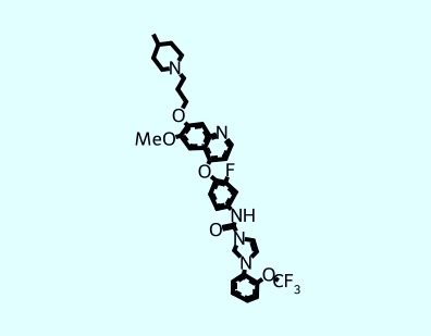 COc1cc2c(Oc3ccc(NC(=O)N4C=CN(c5ccccc5OC(F)(F)F)C4)cc3F)ccnc2cc1OCCCN1CCC(C)CC1